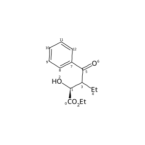 CCOC(=O)[C@@H](O)C(CC)C(=O)c1ccccc1